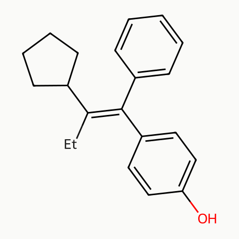 CCC(=C(c1ccccc1)c1ccc(O)cc1)C1CCCC1